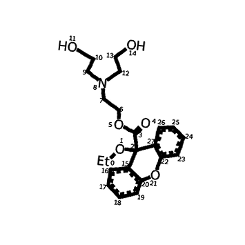 CCOC1(C(=O)OCCN(CCO)CCO)c2ccccc2Oc2ccccc21